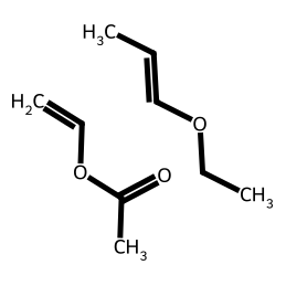 C=COC(C)=O.CC=COCC